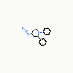 [N-]=[N+]=NC1CCN(c2ccccc2)C(c2ccccc2)C1